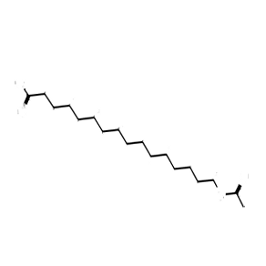 CC(=O)SCCCCCCCCCCCCCCCC(=O)O